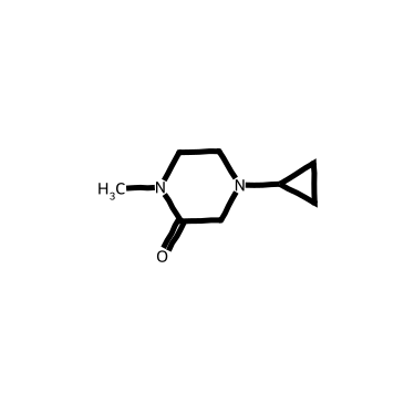 CN1CCN(C2CC2)CC1=O